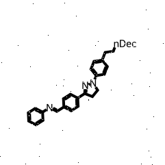 CCCCCCCCCCCCc1ccc(N2CCC(c3ccc(C=Nc4ccccc4)cc3)=N2)cc1